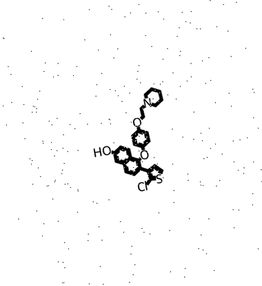 Oc1ccc2c(Oc3ccc(OCCN4CCCCC4)cc3)c(-c3ccsc3Cl)ccc2c1